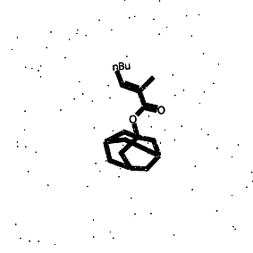 CCCCC=C(C)C(=O)OC12CC3CC(CC(C3)C1)C2